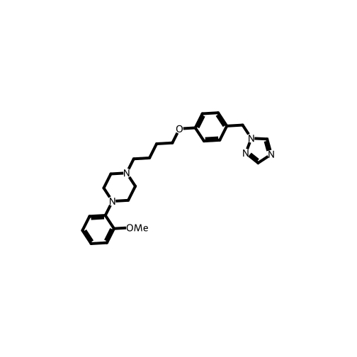 COc1ccccc1N1CCN(CCCCOc2ccc(Cn3cncn3)cc2)CC1